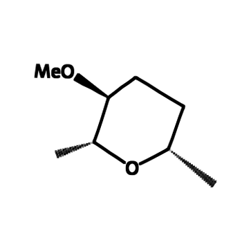 CO[C@H]1CC[C@H](C)O[C@@H]1C